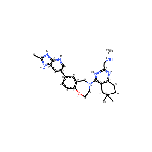 CC[C@@H](C)NCc1nc2c(c(N3CCOc4ccc(-c5cnc6nc(C)[nH]c6c5)cc4C3)n1)CC(C)(C)CC2